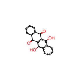 O=C1c2ccccc2C(=O)c2c1c(O)c1ccccc1c2O